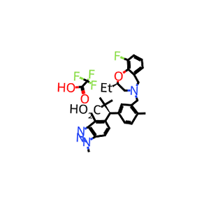 CC[C@@H]1CN(Cc2cc([C@@H](c3ccc4c(nnn4C)c3C)C(C)(C)C(=O)O)ccc2C)Cc2cccc(F)c2O1.O=C(O)C(F)(F)F